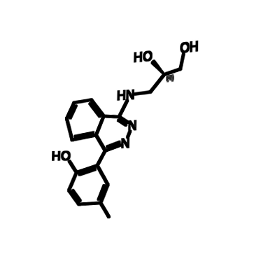 Cc1ccc(O)c(-c2nnc(NC[C@@H](O)CO)c3ccccc23)c1